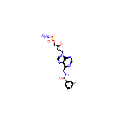 CO[C@@H](CCn1cnc2c(CNC(=O)c3cc(F)cc(F)c3)ncnc21)COS(N)(=O)=O